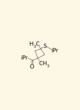 CC(C)SC1(C)CC(C)(C(=O)C(C)C)C1